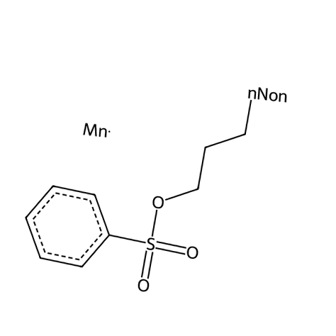 CCCCCCCCCCCCOS(=O)(=O)c1ccccc1.[Mn]